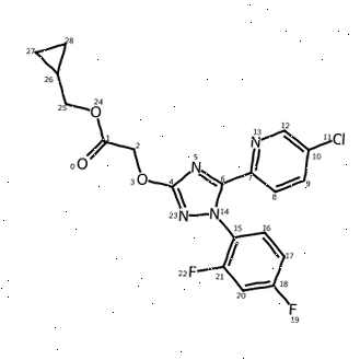 O=C(COc1nc(-c2ccc(Cl)cn2)n(-c2ccc(F)cc2F)n1)OCC1CC1